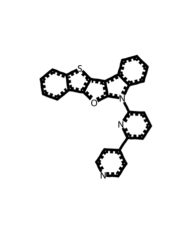 c1cc(-c2ccncc2)nc(-n2c3ccccc3c3c4sc5ccccc5c4oc32)c1